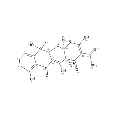 CC1(O)c2cccc(O)c2C(=O)C2=C(O)[C@]3(O)C(=O)C(C(N)=O)=C(O)C[C@@H]3CC21